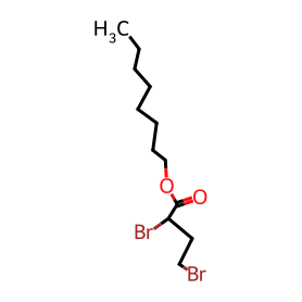 CCCCCCCCOC(=O)C(Br)CCBr